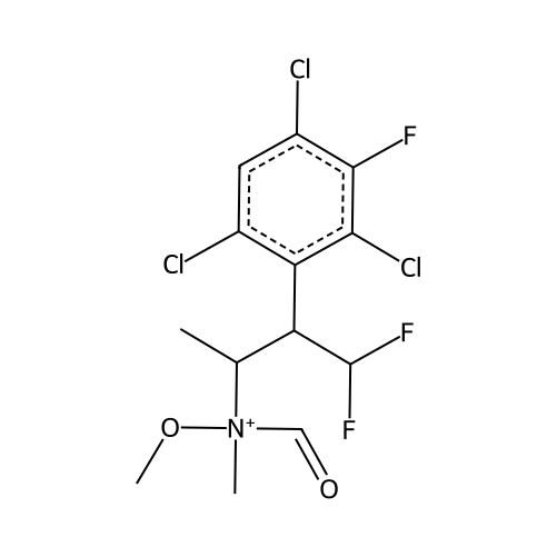 CO[N+](C)(C=O)C(C)C(c1c(Cl)cc(Cl)c(F)c1Cl)C(F)F